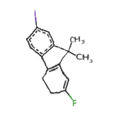 CC1(C)C2=C(CCC(F)=C2)c2ccc(I)cc21